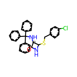 O=C1NC(SCc2ccc(Cl)cc2)[C@@H]1NC(c1ccccc1)(c1ccccc1)c1ccccc1